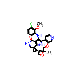 COc1c(Cl)cccc1Nc1c(-c2ccncc2OCC2(C)CCO2)[nH]c2c1C(=O)NCC21CC1